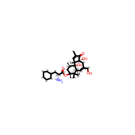 CC1=C[C@H]2[C@@]3(O)[C@H](C)C[C@@](C)(OC(=O)[C@H](N)CC4CCCCC4)C(C)(C)[C@@H]3C=C(CO)C[C@]2(O)C1=O